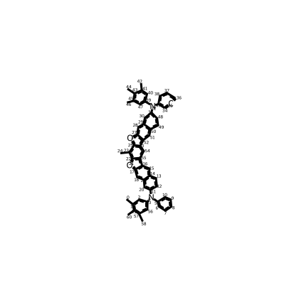 Cc1cc(N(c2ccccc2)c2ccc3cc4c(cc3c2)oc2c(C)c3oc5cc6cc(N(c7ccccc7)c7cc(C)c(C)c(C)c7)ccc6cc5c3cc24)cc(C)c1C